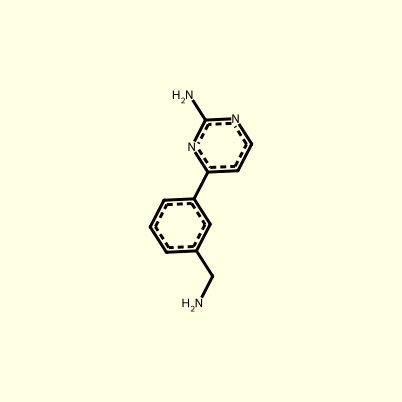 NCc1cccc(-c2ccnc(N)n2)c1